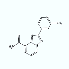 Cc1cc(-c2nc3c(C(N)=O)[c]ccn3n2)ccn1